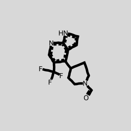 O=CN1CCC(c2c(C(F)(F)F)cnc3[nH]ccc23)CC1